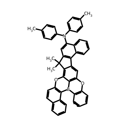 Cc1ccc(N(c2ccc(C)cc2)c2cc3c(c4ccccc24)-c2cc4c5c(c2C3(C)C)Oc2ccc3ccccc3c2B5c2c(ccc3ccccc23)O4)cc1